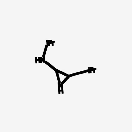 CC(C)NC1NC1C(C)C